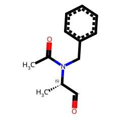 CC(=O)N(Cc1ccccc1)[C@@H](C)[C]=O